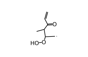 [CH2]C(OO)C(C)C(=O)C=C